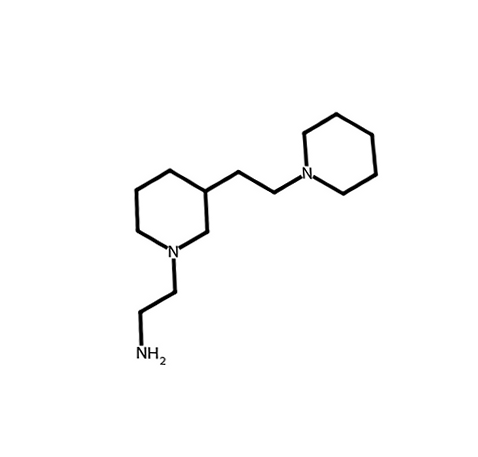 NCCN1CCCC(CCN2CCCCC2)C1